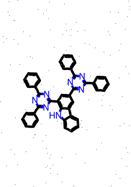 c1ccc(-c2nc(-c3ccccc3)nc(-c3cc(-c4nc(-c5ccccc5)nc(-c5ccccc5)n4)c4[nH]c5ccccc5c4c3)n2)cc1